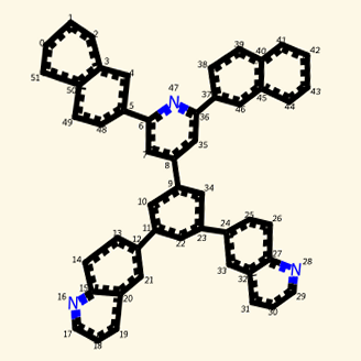 c1ccc2cc(-c3cc(-c4cc(-c5ccc6ncccc6c5)cc(-c5ccc6ncccc6c5)c4)cc(-c4ccc5ccccc5c4)n3)ccc2c1